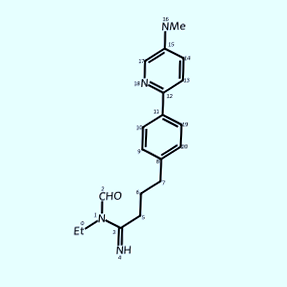 CCN(C=O)C(=N)CCCc1ccc(-c2ccc(NC)cn2)cc1